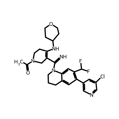 CC(=O)N1CCC(NC2CCOCC2)=C(C(=N)N2CCCc3cc(-c4cncc(Cl)c4)c(C(F)F)cc32)C1